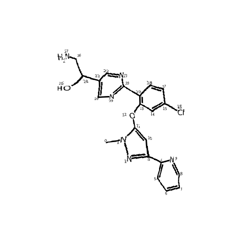 Cn1nc(-c2ccccn2)cc1Oc1cc(Cl)ccc1-c1ncc(C(O)CN)cn1